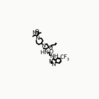 C=CCO[C@H]1CN(C2CCCN(c3c(C)noc3C)CC2)CC1NC(=O)CNc1ncnc2ccc(C(F)(F)F)cc12